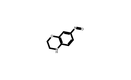 O=Nc1ccc2c(c1)OCCN2